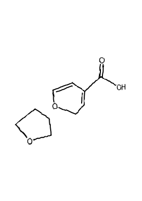 C1CCOC1.O=C(O)C1=CCOC=C1